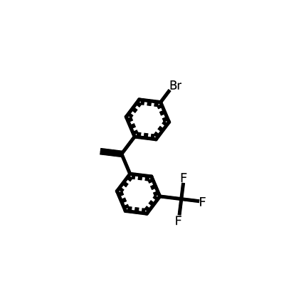 C=C(c1ccc(Br)cc1)c1cccc(C(F)(F)F)c1